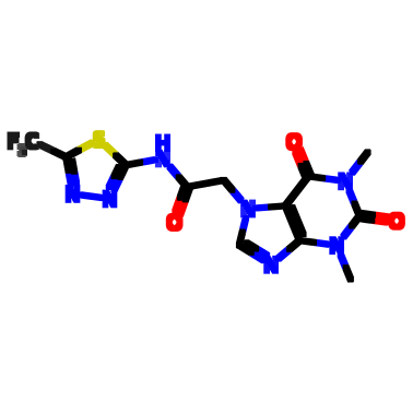 Cn1c(=O)c2c(ncn2CC(=O)Nc2nnc(C(F)(F)F)s2)n(C)c1=O